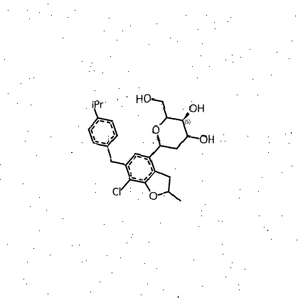 CC1Cc2c(C3CC(O)[C@H](O)C(CO)O3)cc(Cc3ccc(C(C)C)cc3)c(Cl)c2O1